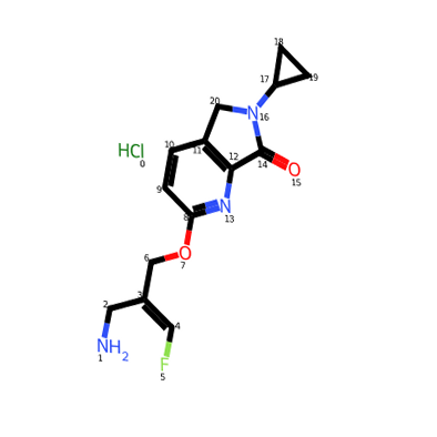 Cl.NCC(=CF)COc1ccc2c(n1)C(=O)N(C1CC1)C2